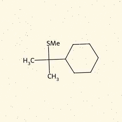 CSC(C)(C)C1CCCCC1